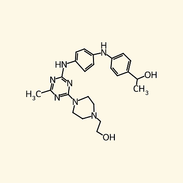 Cc1nc(Nc2ccc(Nc3ccc(C(C)O)cc3)cc2)nc(N2CCN(CCO)CC2)n1